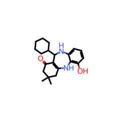 CC1(C)CC(=O)C2=C(C1)Nc1c(O)cccc1NC2C1CCCCC1